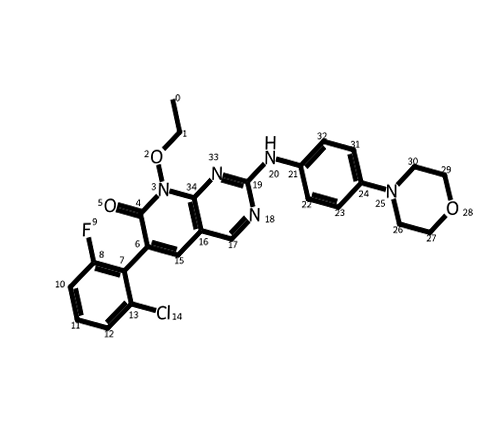 CCOn1c(=O)c(-c2c(F)cccc2Cl)cc2cnc(Nc3ccc(N4CCOCC4)cc3)nc21